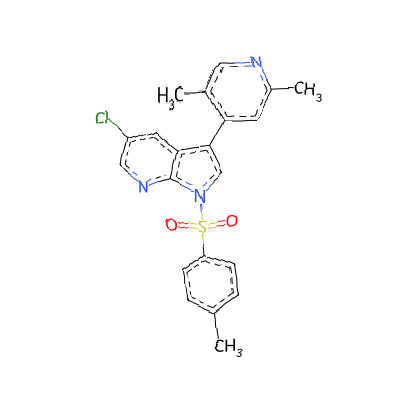 Cc1ccc(S(=O)(=O)n2cc(-c3cc(C)ncc3C)c3cc(Cl)cnc32)cc1